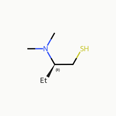 CC[C@H](CS)N(C)C